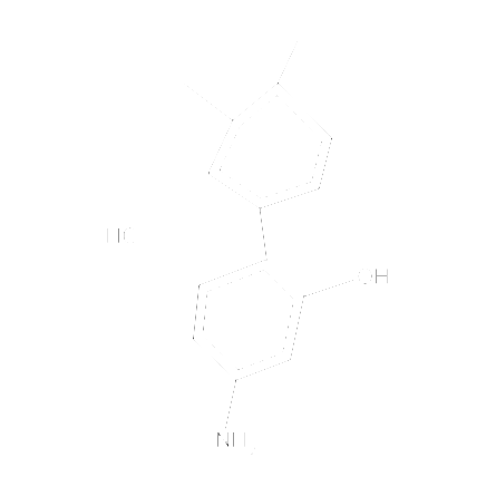 Cc1ccc(-c2ccc(N)cc2O)cc1C.Cl